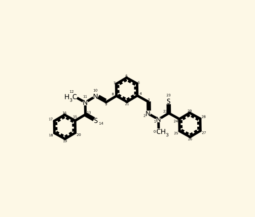 CN(/N=C/c1cccc(/C=N/N(C)C(=S)c2ccccc2)c1)C(=S)c1ccccc1